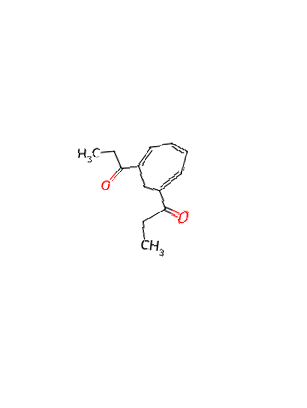 CCC(=O)C1=CC=CC=C(C(=O)CC)C1